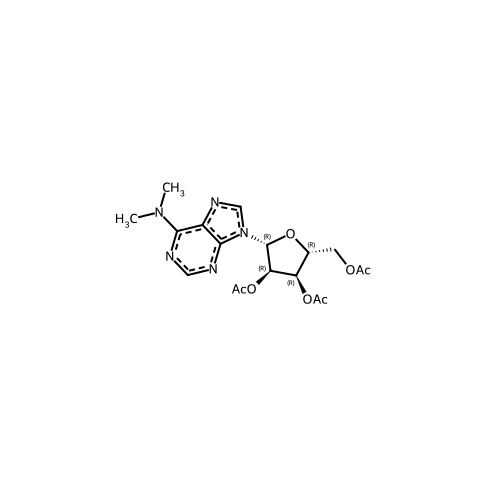 CC(=O)OC[C@H]1O[C@@H](n2cnc3c(N(C)C)ncnc32)[C@H](OC(C)=O)[C@@H]1OC(C)=O